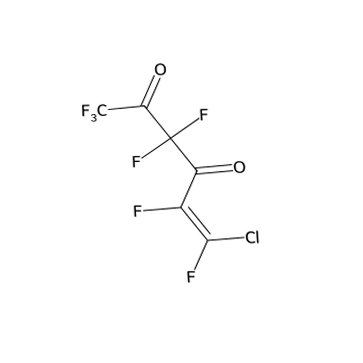 O=C(C(F)=C(F)Cl)C(F)(F)C(=O)C(F)(F)F